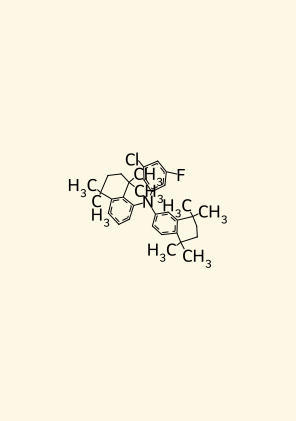 CC1(C)CCC(C)(C)c2cc(N(c3cc(F)cc(Cl)c3)c3cccc4c3C(C)(C)CCC4(C)C)ccc21